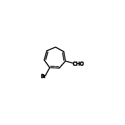 O=CC1=CCC=CC(Br)=C1